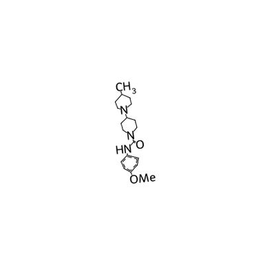 COc1ccc(NC(=O)N2CCC(N3CCC(C)CC3)CC2)cc1